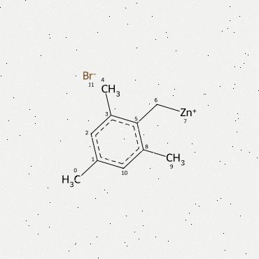 Cc1cc(C)c([CH2][Zn+])c(C)c1.[Br-]